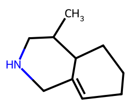 CC1CNCC2=CCCCC21